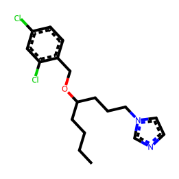 CCCCC(CCCn1ccnc1)OCc1ccc(Cl)cc1Cl